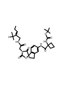 CC/C=C(/CNC(=O)CN1C(=O)O[C@]2(CCc3cc(NC(=O)C4(NC(=O)OC(C)(C)C)CCC4)ccc32)C1=O)C(C)(C)F